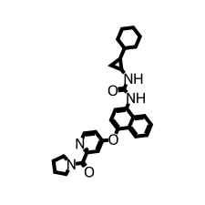 O=C(Nc1ccc(Oc2ccnc(C(=O)N3CCCC3)c2)c2ccccc12)NC1CC1C1CCCCC1